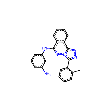 Cc1ccccc1-c1nnc2c3ccccc3c(Nc3cccc(N)c3)nn12